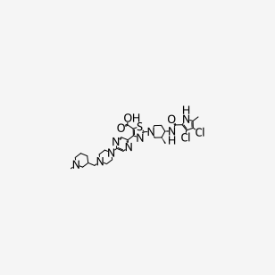 Cc1[nH]c(C(=O)N[C@@H]2CCN(c3nc(-c4cnc(N5CCN(CC6CCCN(C)C6)CC5)cn4)c(C(=O)O)s3)C[C@@H]2C)c(Cl)c1Cl